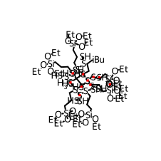 CCO[Si](CCCS(S)(SS)C(C)(C(CCC(C)CC)(S(S)(CCC[Si](OCC)(OCC)OCC)SS)S(S)(CCC[Si](OCC)(OCC)OCC)SS)C(S(S)(CCC[Si](OCC)(OCC)OCC)SS)(S(S)(CCC[Si](OCC)(OCC)OCC)SS)S(S)(CCC[Si](OCC)(OCC)OCC)SS)(OCC)OCC